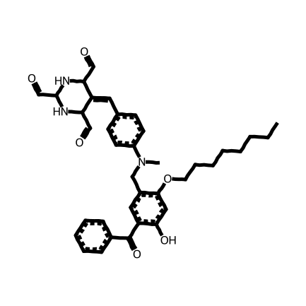 CCCCCCCCOc1cc(O)c(C(=O)c2ccccc2)cc1CN(C)c1ccc(C=C2C(C=O)NC(C=O)NC2C=O)cc1